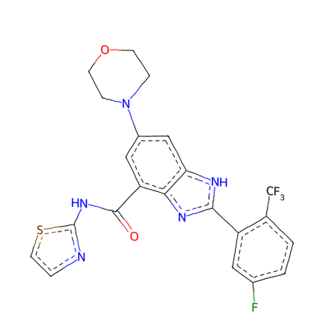 O=C(Nc1nccs1)c1cc(N2CCOCC2)cc2[nH]c(-c3cc(F)ccc3C(F)(F)F)nc12